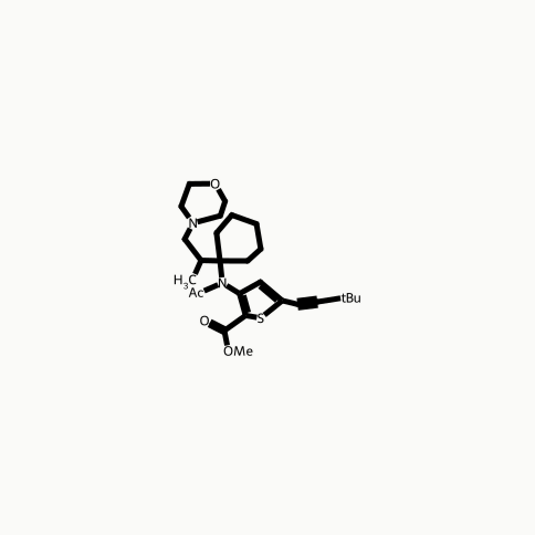 COC(=O)c1sc(C#CC(C)(C)C)cc1N(C(C)=O)C1(C(C)CN2CCOCC2)CCCCC1